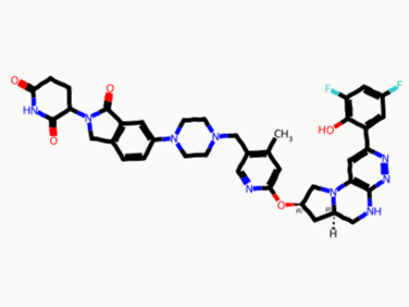 Cc1cc(O[C@@H]2C[C@@H]3CNc4nnc(-c5cc(F)cc(F)c5O)cc4N3C2)ncc1CN1CCN(c2ccc3c(c2)C(=O)N(C2CCC(=O)NC2=O)C3)CC1